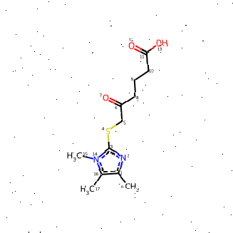 Cc1nc(SCC(=O)CCCC(=O)O)n(C)c1C